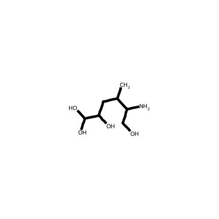 CC(CC(O)C(O)O)C(N)CO